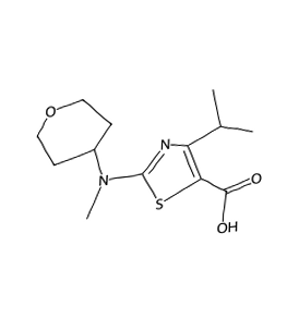 CC(C)c1nc(N(C)C2CCOCC2)sc1C(=O)O